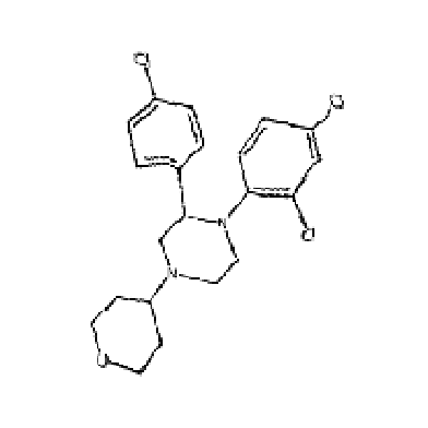 Clc1ccc(C2CN(C3CCOCC3)CCN2c2ccc(Cl)cc2Cl)cc1